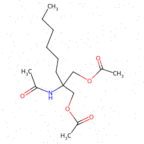 CCCCCCC(COC(C)=O)(COC(C)=O)NC(C)=O